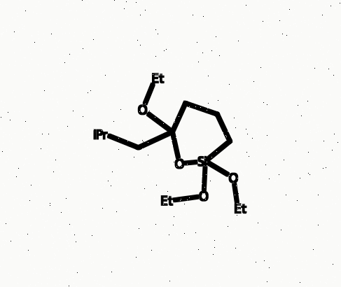 CCOC1(CC(C)C)CCC[Si](OCC)(OCC)O1